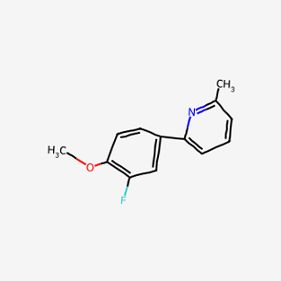 COc1ccc(-c2cccc(C)n2)cc1F